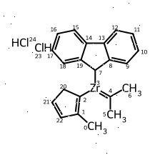 CC1=[C]([Zr](=[C](C)C)[CH]2c3ccccc3-c3ccccc32)CC=C1.Cl.Cl